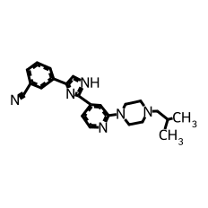 CC(C)CN1CCN(c2cc(-c3nc(-c4cccc(C#N)c4)c[nH]3)ccn2)CC1